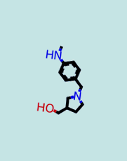 CNc1ccc(CN2CCC(CO)C2)cc1